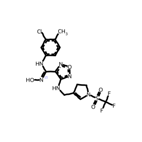 Cc1ccc(N/C(=N\O)c2nonc2NCC2=CN(S(=O)(=O)C(F)(F)F)CC2)cc1Cl